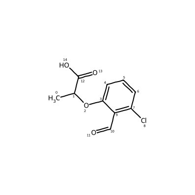 CC(Oc1cccc(Cl)c1C=O)C(=O)O